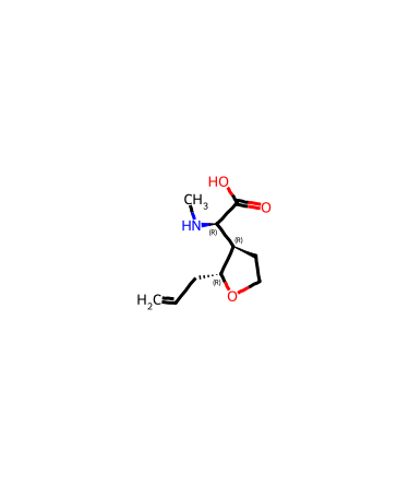 C=CC[C@H]1OCC[C@@H]1[C@@H](NC)C(=O)O